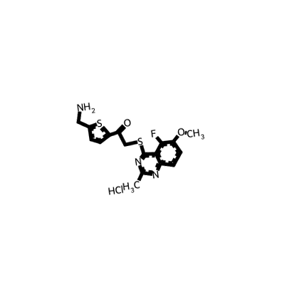 COc1ccc2nc(C)nc(SCC(=O)c3ccc(CN)s3)c2c1F.Cl